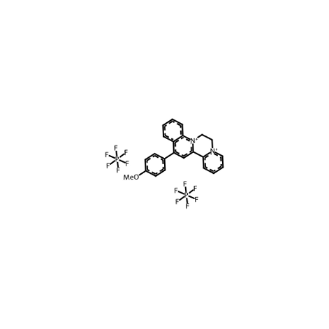 COc1ccc(-c2cc3[n+](c4ccccc24)CC[n+]2ccccc2-3)cc1.F[P-](F)(F)(F)(F)F.F[P-](F)(F)(F)(F)F